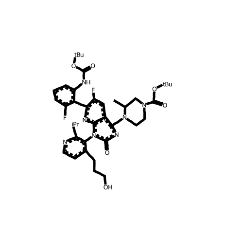 CC(C)c1nccc(CCCO)c1-n1c(=O)nc(N2CCN(C(=O)OC(C)(C)C)CC2C)c2cc(F)c(-c3c(F)cccc3NC(=O)OC(C)(C)C)nc21